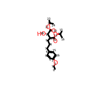 CCOc1ccc(CCCC(C(=O)OC(C)C)[C@H](O)C(=O)OC(C)C)cc1